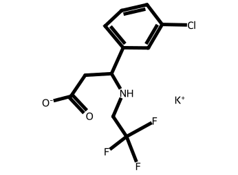 O=C([O-])CC(NCC(F)(F)F)c1cccc(Cl)c1.[K+]